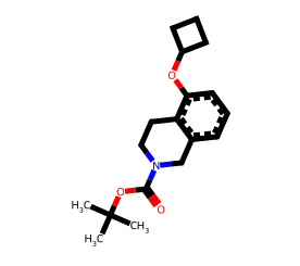 CC(C)(C)OC(=O)N1CCc2c(cccc2OC2CCC2)C1